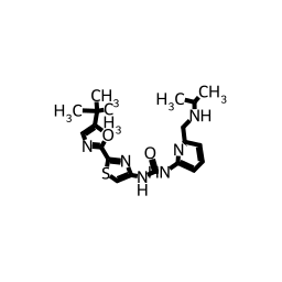 CC(C)NCc1cccc(NC(=O)Nc2csc(-c3ncc(C(C)(C)C)o3)n2)n1